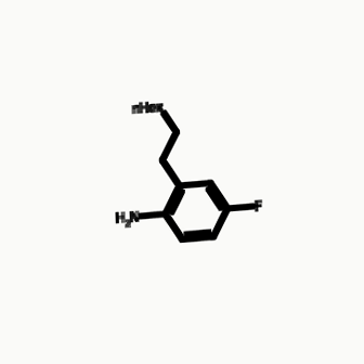 CCCCCCCCc1cc(F)ccc1N